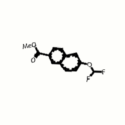 COC(=O)c1ccc2cc(OC(F)F)ccc2c1